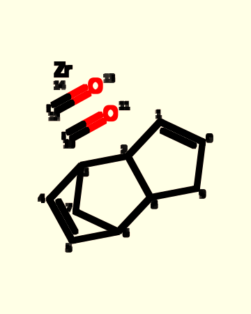 C1=CC2C3C=CC(C3)C2C1.[C]=O.[C]=O.[Zr]